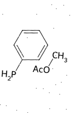 COC(C)=O.Pc1ccccc1